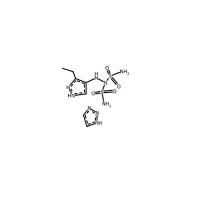 CCc1n[nH]cc1NN(S(N)(=O)=O)S(N)(=O)=O.c1c[nH]nn1